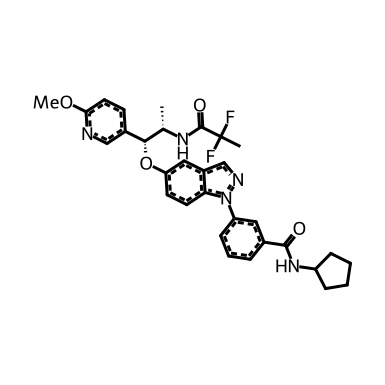 COc1ccc([C@@H](Oc2ccc3c(cnn3-c3cccc(C(=O)NC4CCCC4)c3)c2)[C@H](C)NC(=O)C(C)(F)F)cn1